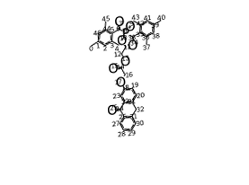 Cc1cc(C)c(C(=O)P(=O)(OCCOC(=O)COc2ccc3c(c2)C(=O)c2ccccc2C3)C(=O)c2c(C)cc(C)cc2C)c(C)c1